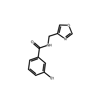 CCc1cccc(C(=O)NCc2cocn2)c1